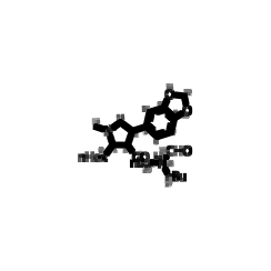 CCCCCCC1C(C(=O)O)C(c2ccc3c(c2)OCO3)CN1C.CCCCN(C=O)CCCC